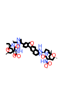 CCC1N([C@@H](C)c2ncc(-c3ccc4c(c3)COc3cc5c(ccc6nc([C@@H]7CC[C@H]8N7C(=O)[C@@H](NC(=O)OC)C7C[C@@H](C)O[C@]8(C)C7)[nH]c65)cc3-4)[nH]2)C(=O)C(NC(=O)OC)[C@H]2C[C@@H](C)O[C@]1(C)C2